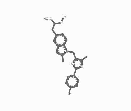 CCOC(Cc1ccc2c(c1)cc(C)n2Cc1nc(-c2ccc(C(C)C)cc2)oc1C)C(=O)O